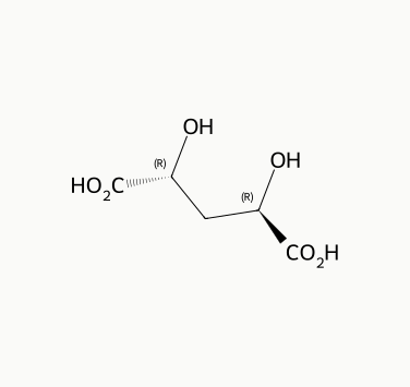 O=C(O)[C@H](O)C[C@@H](O)C(=O)O